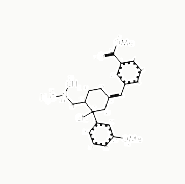 COC(=O)c1cccc(/C=C2\CCC(CN(C)C)C(Cl)(c3cccc(OC)c3)C2)c1